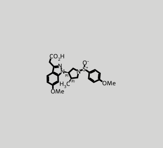 COc1ccc([S+]([O-])N2C[C@@H](C)[C@@H](n3nc(CC(=O)O)c4ccc(OC)cc43)C2)cc1